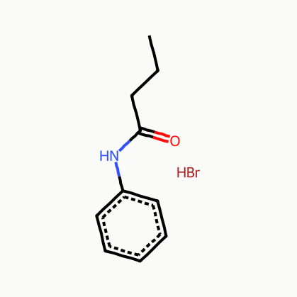 Br.CCCC(=O)Nc1ccccc1